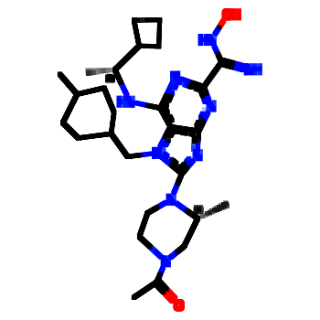 CC(=O)N1CCN(c2nc3nc(C(=N)NO)nc(N[C@H](C)C4CCC4)c3n2CC2CCC(C)CC2)[C@H](C)C1